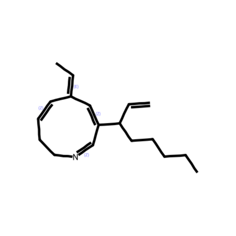 C=CC(CCCCC)C1=C/C(=C/C)/C=C\CC/N=C\1